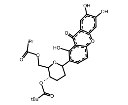 CC(C)C(=O)OCC1OC(c2ccc3oc4cc(O)c(O)cc4c(=O)c3c2O)CC[C@@H]1OC(=O)C(C)(C)C